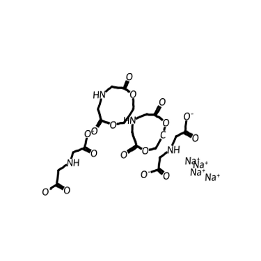 O=C([O-])CNCC(=O)[O-].O=C([O-])CNCC(=O)[O-].O=C1CNCC(=O)OCCO1.O=C1CNCC(=O)OCCO1.[Na+].[Na+].[Na+].[Na+]